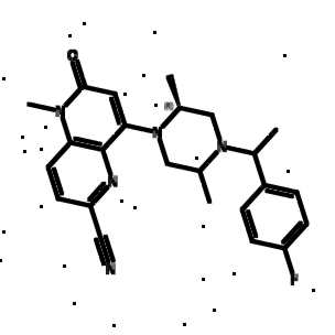 CC1CN(c2cc(=O)n(C)c3ccc(C#N)nc23)[C@@H](C)CN1C(C)c1ccc(F)cc1